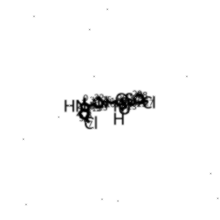 Cc1[nH]c2ccc(Cl)cc2c1C1=CCN(CCCNS(=O)(=O)c2cc3cc(Cl)ccc3s2)CC1